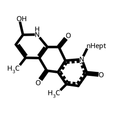 CCCCCCCn1c2c(c(C)cc1=O)C(=O)C1=C(NC(O)C=C1C)C2=O